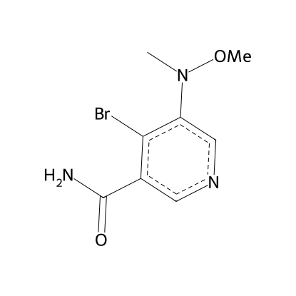 CON(C)c1cncc(C(N)=O)c1Br